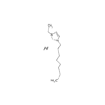 CCCCCCCCN1C=CN(CC)C1.I